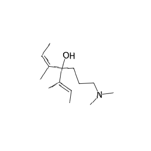 CC=C(C)C(O)(CCCN(C)C)C(C)=CC